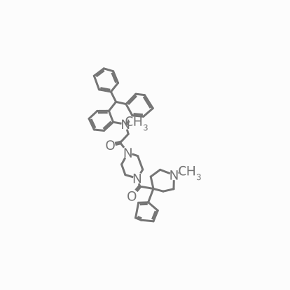 CN1CCC(C(=O)N2CCN(C(=O)CN(C)c3ccccc3C(c3ccccc3)c3ccccc3)CC2)(c2ccccc2)CC1